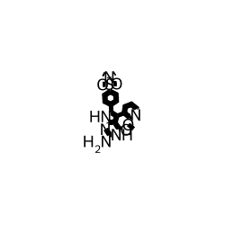 COc1ncccc1-c1c(-c2ccc(S(=O)(=O)N(C)C)cc2)[nH]c2nc(N)[nH]c(=O)c12